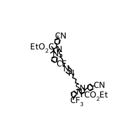 CCOC(=O)C1=C(C)N(c2cccc(C(F)(F)F)c2)C(SCCCCCN2CCN(CCCCCSC3=NC(c4ccc(C#N)cc4)C(C(=O)OCC)=C(C)N3c3cccc(C(F)(F)F)c3)CC2)=NC1c1ccc(C#N)cc1